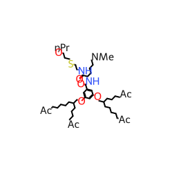 CCCOCCCSCCNC(=O)C(CCCCNC)NC(=O)c1cc(OCC(CCCCCC(C)=O)CCCCC(C)=O)cc(OCC(CCCCCC(C)=O)CCCCC(C)=O)c1